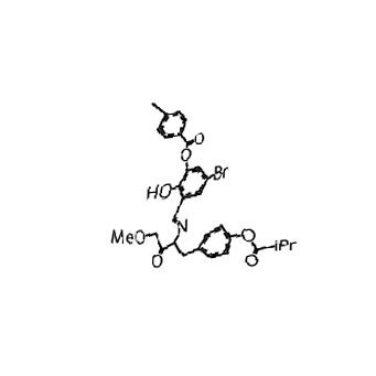 COCC(=O)C(Cc1ccc(OC(=O)C(C)C)cc1)N=Cc1cc(Br)cc(OC(=O)c2ccc(C)cc2)c1O